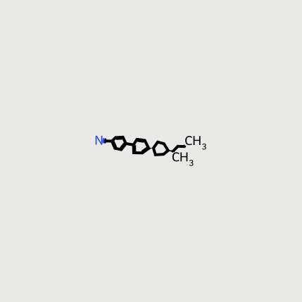 CCCC(C)[C@H]1CC[C@H](c2ccc(-c3ccc(C#N)cc3)cc2)CC1